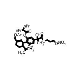 C=C(C)C1CCC(COC(C)=O)=CC1c1c(O)cc(C(C)(C)C(=O)OCCCO[N+](=O)[O-])cc1OC(=O)C(CCC)CCC